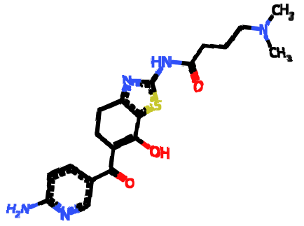 CN(C)CCCC(=O)Nc1nc2c(s1)C(O)=C(C(=O)c1ccc(N)nc1)CC2